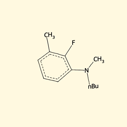 CCCCN(C)c1cccc(C)c1F